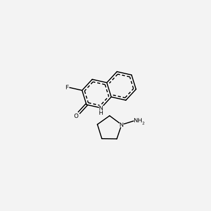 NN1CCCC1.O=c1[nH]c2ccccc2cc1F